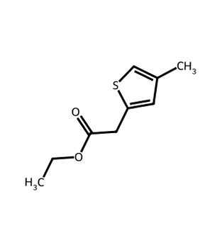 CCOC(=O)Cc1cc(C)cs1